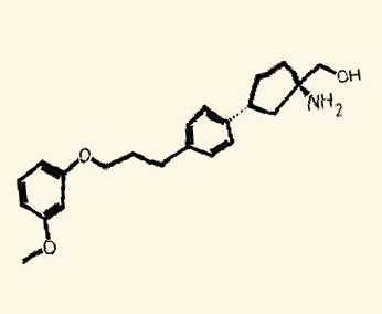 COc1cccc(OCCCc2ccc([C@@H]3CC[C@](N)(CO)C3)cc2)c1